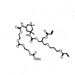 C=CC(=O)OCCCOCC(COC(=O)C=C)COC(=O)NC1(C)CC(NC(=O)OCCOC(=O)OCCOC(=O)OC)CC(C)(C)C1